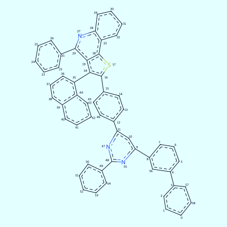 c1ccc(-c2cccc(-c3cc(-c4ccc(-c5sc6c(c(-c7ccccc7)nc7ccccc76)c5-c5cccc6ccccc56)cc4)nc(-c4ccccc4)n3)c2)cc1